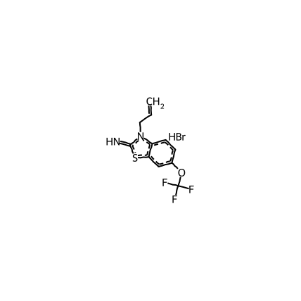 Br.C=CCn1c(=N)sc2cc(OC(F)(F)F)ccc21